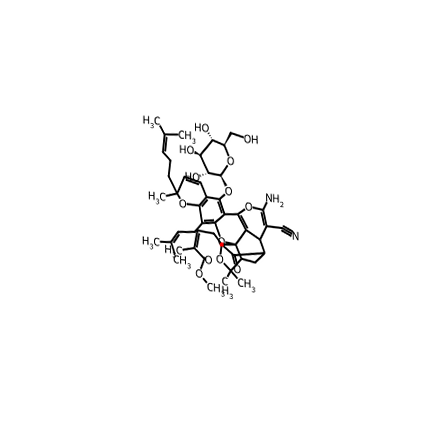 COC(=O)/C(C)=C\CC12OC(C)(C)C3CC(C1=O)C1C(C#N)=C(N)OC4=C1C32Oc1c(CC=C(C)C)c2c(c(O[C@@H]3O[C@H](CO)[C@@H](O)[C@H](O)[C@H]3O)c14)C=CC(C)(CCC=C(C)C)O2